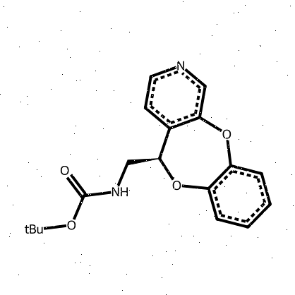 CC(C)(C)OC(=O)NC[C@@H]1Oc2ccccc2Oc2cnccc21